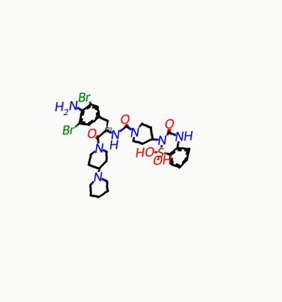 Nc1c(Br)cc(C[C@@H](NC(=O)N2CCC(N3C(=O)Nc4ccccc4S3(O)O)CC2)C(=O)N2CCC(N3CCCCC3)CC2)cc1Br